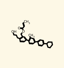 C/C=C/C(=O)OCc1cc(-c2ccc(-c3ccc(C4CCCCC4)cc3)cc2C)ccc1CCCO